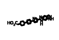 O=C(O)CC1CCC(c2ccc(-c3ccc(-c4nc5cc6cn[nH]c6cc5[nH]4)cn3)cc2)CC1